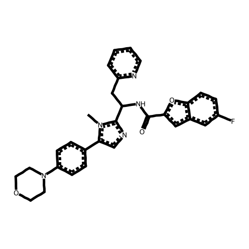 Cn1c(-c2ccc(N3CCOCC3)cc2)cnc1C(Cc1ccccn1)NC(=O)c1cc2cc(F)ccc2o1